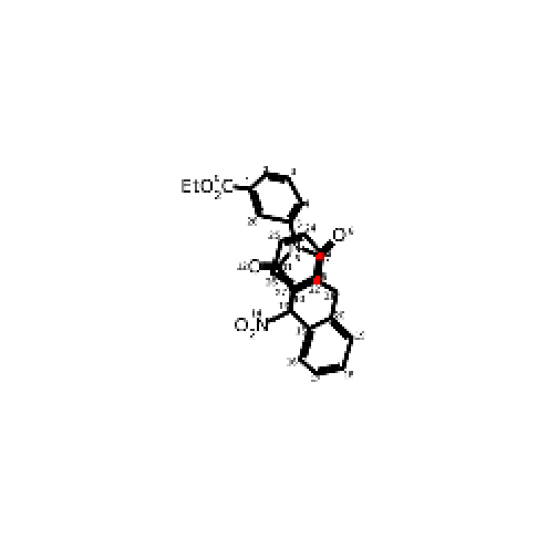 CCOC(=O)c1cccc(N2C(=O)C3=C(C2=O)C2([N+](=O)[O-])c4ccccc4C3c3ccccc32)c1